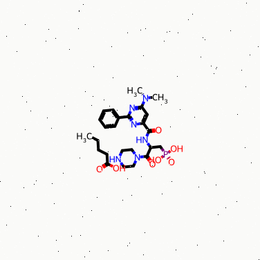 CCCCC(=O)O.CN(C)c1cc(C(=O)NC(CP(=O)(O)O)C(=O)N2CCNCC2)nc(-c2ccccc2)n1